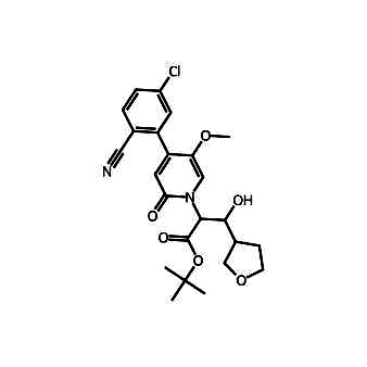 COc1cn(C(C(=O)OC(C)(C)C)C(O)C2CCOC2)c(=O)cc1-c1cc(Cl)ccc1C#N